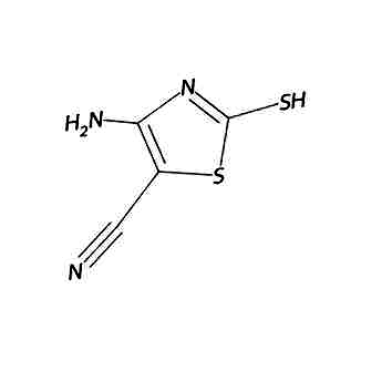 N#Cc1sc(S)nc1N